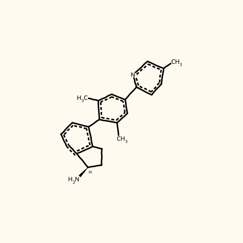 Cc1ccc(-c2cc(C)c(-c3cccc4c3CC[C@H]4N)c(C)c2)nc1